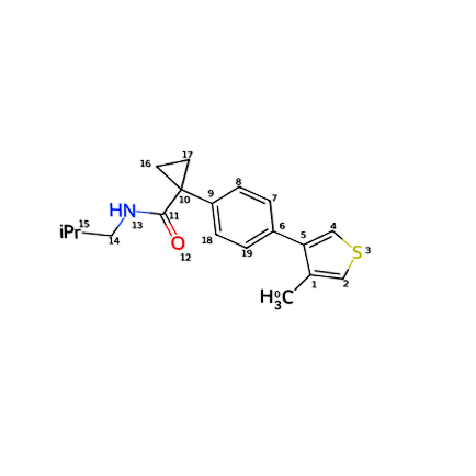 Cc1cscc1-c1ccc(C2(C(=O)NCC(C)C)CC2)cc1